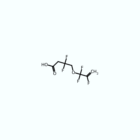 C=C(F)C(F)(F)OCC(F)(F)CC(=O)O